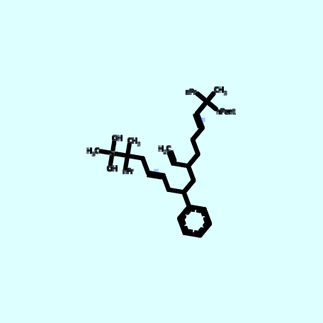 C=CC(CC/C=C/C(C)(CCC)CCCCC)CC(C/C=C/CC(C)(CCC)[Si](C)(O)O)c1ccccc1